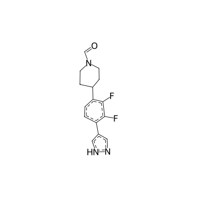 O=CN1CCC(c2ccc(-c3cn[nH]c3)c(F)c2F)CC1